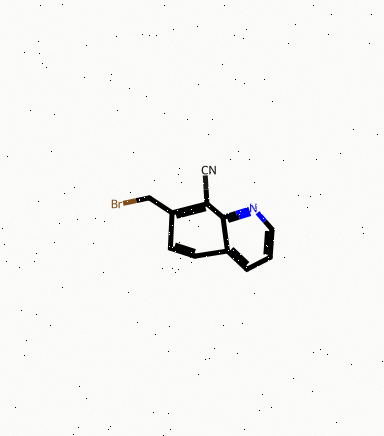 N#Cc1c(CBr)ccc2cccnc12